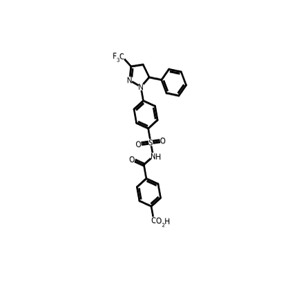 O=C(O)c1ccc(C(=O)NS(=O)(=O)c2ccc(N3N=C(C(F)(F)F)CC3c3ccccc3)cc2)cc1